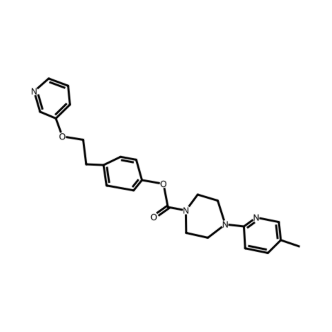 Cc1ccc(N2CCN(C(=O)Oc3ccc(CCOc4cccnc4)cc3)CC2)nc1